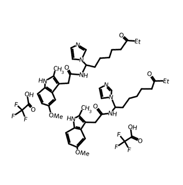 CCC(=O)CCCCCC(NC(=O)Cc1c(C)[nH]c2ccc(OC)cc12)n1ccnc1.CCC(=O)CCCCCC(NC(=O)Cc1c(C)[nH]c2ccc(OC)cc12)n1ccnc1.O=C(O)C(F)(F)F.O=C(O)C(F)(F)F